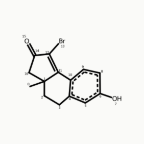 CC12CCc3cc(O)ccc3C1=C(Br)C(=O)C2